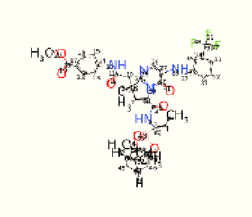 CC[C@H](NC(=O)[C@@H]1C[C@](C)(CC(=O)Nc2ccc(C(=O)OC)cc2)c2ncc(NCc3cccc(C(F)(F)F)c3)c(=O)n21)B1O[C@@H]2C[C@@H]3C[C@@H](C3(C)C)[C@]2(C)O1